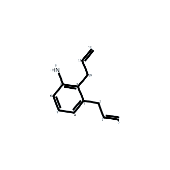 C=CCc1cccc([NH])c1CC=C